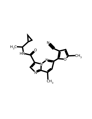 Cc1cc(C#N)c(-c2cc(C)c3ncc(C(=O)NC(C)C4CC4)n3n2)o1